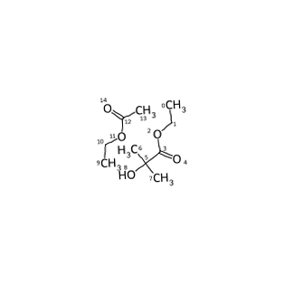 CCOC(=O)C(C)(C)O.CCOC(C)=O